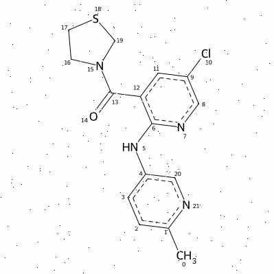 Cc1ccc(Nc2ncc(Cl)cc2C(=O)N2CCSC2)cn1